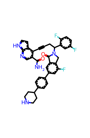 NC(=O)c1cnc2[nH]ccc2c1C#CCC(c1cc(F)ccc1F)N1Cc2c(F)cc(-c3ccc(C4CCNCC4)cc3)cc2C1=O